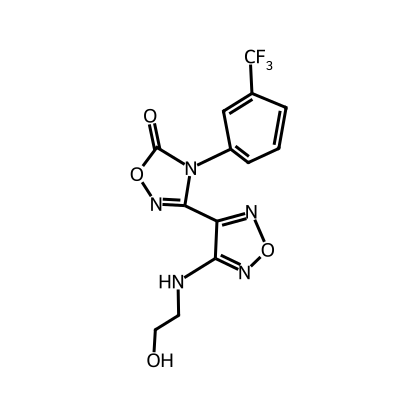 O=c1onc(-c2nonc2NCCO)n1-c1cccc(C(F)(F)F)c1